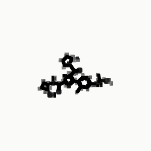 Cc1cc(N[C@@H](C)C(F)(F)F)ncc1-c1sc(C(=O)N[C@@H]2CC[C@H]2O)nc1C(=O)N1CCC[C@@H]1C